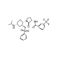 CC(C)N[C@@H]1CC[C@H](N2CC[C@H](NC(=O)c3cccc(C(F)(F)F)c3)C2=O)[C@@H](CS(=O)(=O)c2ccccc2)C1